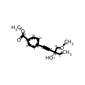 CC[C@@](O)(C#Cc1ccc(C(=O)OC)cc1)COC